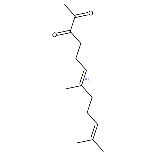 CC(=O)C(=O)CC/C=C(\C)CCC=C(C)C